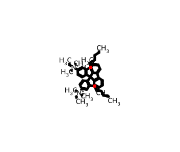 CCCCCCc1cc([N+](C)(C)CC)ccc1C1(c2ccc([N+](C)(C)CC)cc2CCCCCC)c2cc(C)ccc2-c2ccc(C)cc21